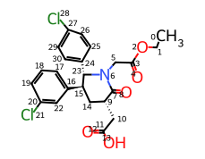 CCOC(=O)CN1C(=O)[C@H](CC(=O)O)C[C@@H](c2cccc(Cl)c2)[C@@H]1c1ccc(Cl)cc1